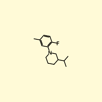 Cc1ccc(F)c(N2CCCC(C(C)C)C2)c1